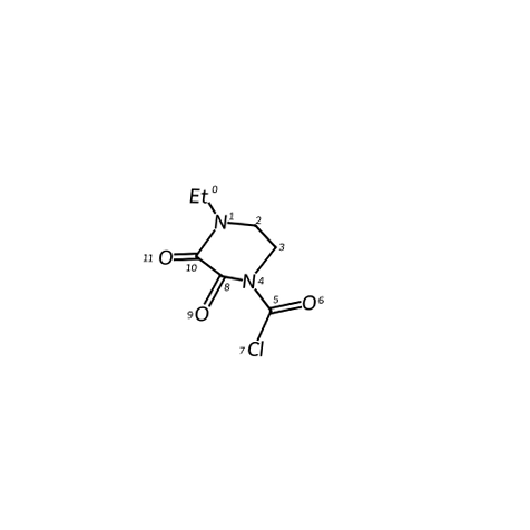 CCN1CCN(C(=O)Cl)C(=O)C1=O